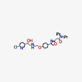 CC(C)N(C(=O)Cc1nc(-c2ccc(OCCNCC(O)c3ccc(Cl)nc3)cc2)co1)C(C)C